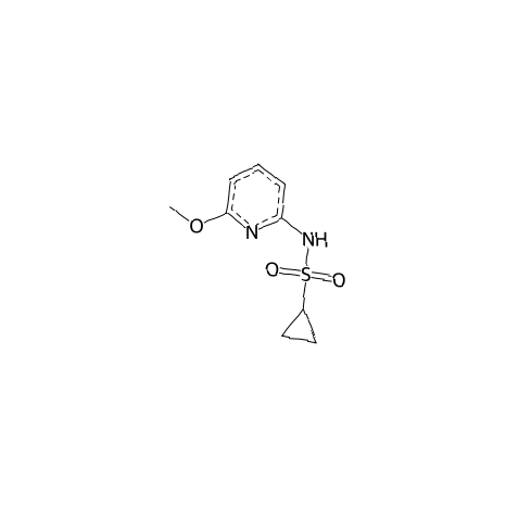 COc1cccc(NS(=O)(=O)C2CC2)n1